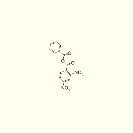 O=C(OC(=O)c1ccc([N+](=O)[O-])cc1[N+](=O)[O-])c1ccccc1